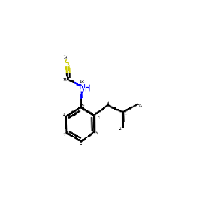 CC(C)Cc1ccccc1NC=S